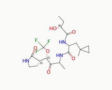 CC[C@@H](O)C(=O)NC(CC1(C)CC1)C(=O)NC(C)C(=O)[C@@H](OC(F)(F)F)[C@@H]1CCNC1=O